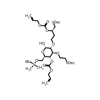 C=CCOC(=O)O[C@@H](CCCCCCCCCCC)CCO[C@@H]1[C@@H](OCCCCCCCCCCCC)[C@H](OC(=O)OCC=C)[C@@H](CO[Si](C)(C)C(C)(C)C)O[C@@H]1O